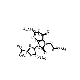 CCC(OC(C)=O)[C@@H]1C[C@@H](OC(C)=O)[C@H](n2c(=O)n(CCSC)c3c(=O)[nH]c(NC(C)=O)nc32)O1